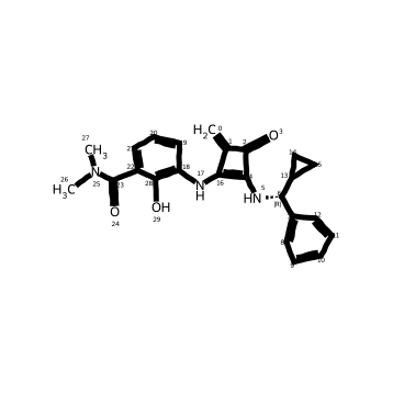 C=C1C(=O)C(N[C@@H](c2ccccc2)C2CC2)=C1Nc1cccc(C(=O)N(C)C)c1O